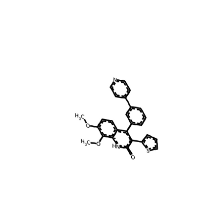 COc1ccc2c(-c3cccc(-c4ccncc4)c3)c(-c3cccs3)c(=O)[nH]c2c1OC